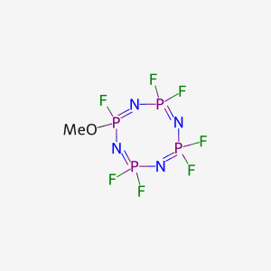 COP1(F)=NP(F)(F)=NP(F)(F)=NP(F)(F)=N1